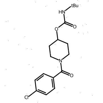 CC(C)(C)NC(=O)OC1CCN(C(=O)c2ccc(Cl)cc2)CC1